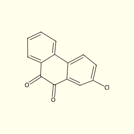 O=C1C(=O)c2cc(Cl)ccc2-c2ccccc21